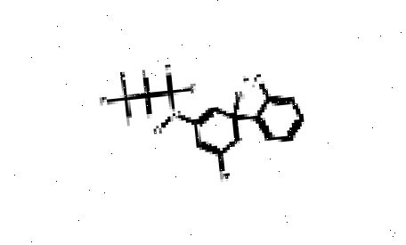 Cc1ccccc1C1(Br)[CH]C(Br)=CC([S+]([O-])C(F)(F)C(F)(F)C(F)(F)F)=C1